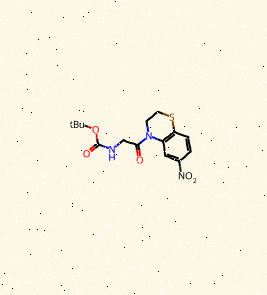 CC(C)(C)OC(=O)NCC(=O)N1CCSc2ccc([N+](=O)[O-])cc21